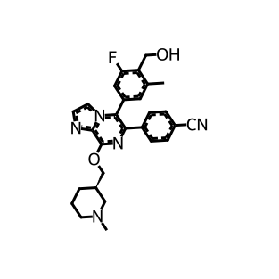 Cc1cc(-c2c(-c3ccc(C#N)cc3)nc(OC[C@@H]3CCCN(C)C3)c3nccn23)cc(F)c1CO